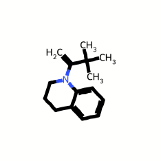 C=C(N1CCCc2ccccc21)C(C)(C)C